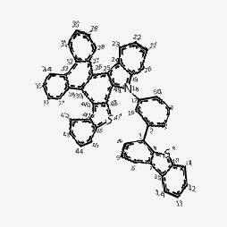 c1cc(-c2cccc3c2sc2ccccc23)cc(-n2c3ccccc3c3c4c5ccccc5c5ccccc5c4c4c5ccccc5sc4c32)c1